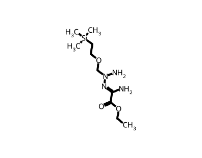 CCOC(=O)/C(N)=N/N(N)COCC[Si](C)(C)C